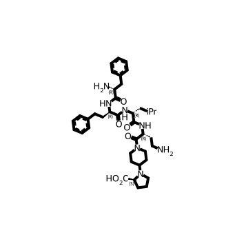 CC(C)C[C@@H](NC(=O)[C@@H](CCc1ccccc1)NC(=O)[C@H](N)Cc1ccccc1)C(=O)N[C@H](CCN)C(=O)N1CCC(N2CCC[C@H]2C(=O)O)CC1